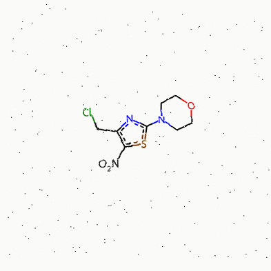 O=[N+]([O-])c1sc(N2CCOCC2)nc1CCl